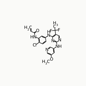 C=CC(=O)Nc1cc(Nc2nc(Nc3cncc(OC)c3)ncc2C(C)(F)F)ccc1Cl